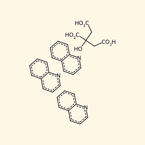 O=C(O)CC(O)(CC(=O)O)C(=O)O.c1ccc2ncccc2c1.c1ccc2ncccc2c1.c1ccc2ncccc2c1